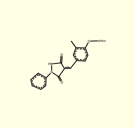 CCCCCCOc1ccc(/C=C2\C(=O)NN(c3ccccc3)C2=O)cc1C